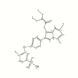 CCN(CC)C(=O)Cc1c(-c2ccc(Oc3cc(S(=O)(=O)O)ccc3C)cc2)nn2c(C)cc(C)nc12